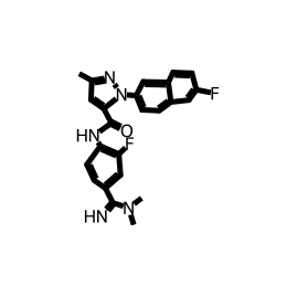 Cc1cc(C(=O)Nc2ccc(C(=N)N(C)C)cc2F)n(-c2ccc3cc(F)ccc3c2)n1